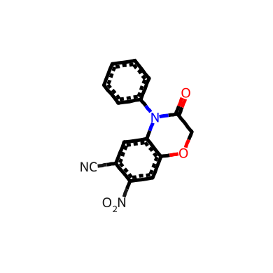 N#Cc1cc2c(cc1[N+](=O)[O-])OCC(=O)N2c1ccccc1